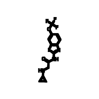 O=C(CNC1CC1)Nc1nc2ccc(OC(F)(F)F)cc2s1